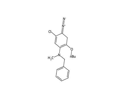 CCCCOC1=C(N(C)Cc2ccccc2)C=C(Cl)C(=[N+]=[N-])C1